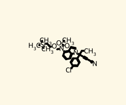 CCC(C#CC#N)(c1ccc(Cl)cc1)n1ccc2c(N(COCC[Si](C)(C)C)S(C)(=O)=O)cccc21